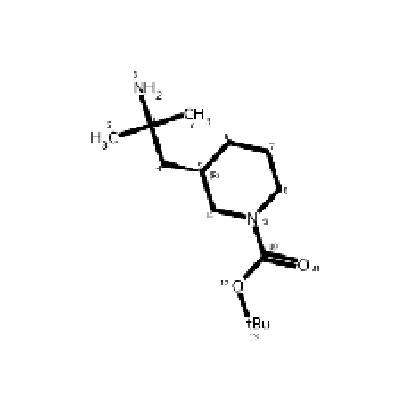 CC(C)(N)C[C@H]1CCCN(C(=O)OC(C)(C)C)C1